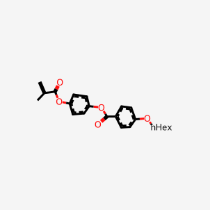 C=C(C)C(=O)Oc1ccc(OC(=O)c2ccc(OCCCCCC)cc2)cc1